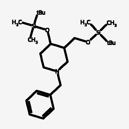 CC(C)(C)[Si](C)(C)OCC1CN(Cc2ccccc2)CCC1O[Si](C)(C)C(C)(C)C